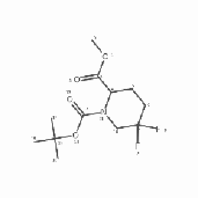 COC(=O)C1CCC(F)(F)CN1C(=O)OC(C)(C)C